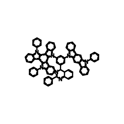 C1=CC2=NC(c3ccccc3)=NC(c3cc(-n4c5ccccc5c5cc6c(cc54)c4ccccc4n6-c4ccccc4)cc(-n4c5ccccc5c5c6c(c7ccccc7n6-c6ccccc6)c6c(c7ccccc7n6-c6ccccc6)c54)c3)C2C=C1